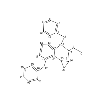 CCC(C)[C](Cc1ccccc1)c1cccc(Cc2ccccc2)c1C1CC1